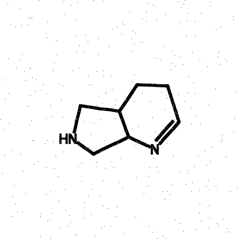 C1=NC2CNCC2CC1